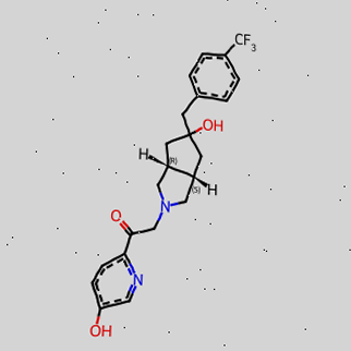 O=C(CN1C[C@@H]2CC(O)(Cc3ccc(C(F)(F)F)cc3)C[C@@H]2C1)c1ccc(O)cn1